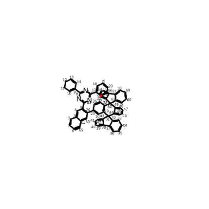 c1ccc2cc(-c3nc(C4=CCCC=C4)nc(-c4ccccc4)n3)c(-c3ccc4c(c3)C3(c5ccccc5-c5ccccc53)c3ccccc3C43c4ccccc4-c4ccccc43)cc2c#1